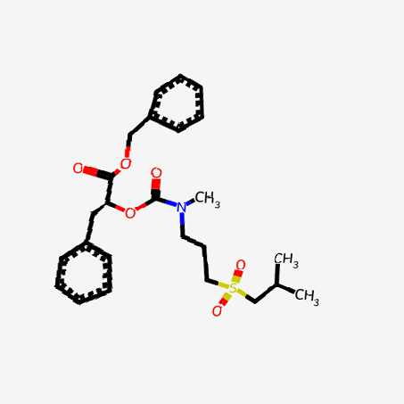 CC(C)CS(=O)(=O)CCCN(C)C(=O)O[C@@H](Cc1ccccc1)C(=O)OCc1ccccc1